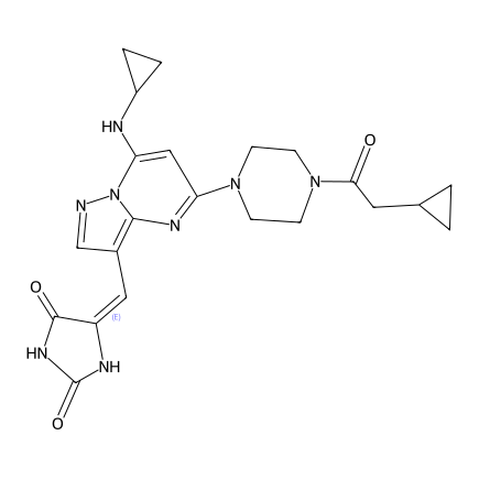 O=C1NC(=O)/C(=C\c2cnn3c(NC4CC4)cc(N4CCN(C(=O)CC5CC5)CC4)nc23)N1